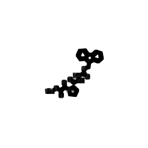 CC(C)(C)OC(=O)C(=O)N1CCC[C@H]1C(=O)NNC(=O)OCC1c2ccccc2-c2ccccc21